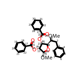 COC(Cc1ccccc1)[C@H]1O[C@H](OC)[C@H](OC(=O)c2ccccc2)[C@@H]1OC(=O)c1ccccc1